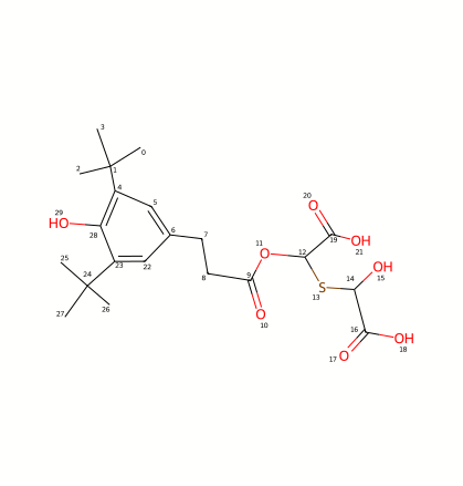 CC(C)(C)c1cc(CCC(=O)OC(SC(O)C(=O)O)C(=O)O)cc(C(C)(C)C)c1O